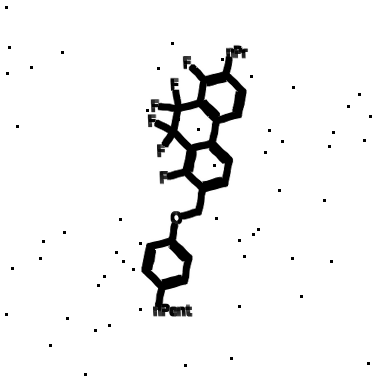 CCCCCc1ccc(OCc2ccc3c(c2F)C(F)(F)C(F)(F)c2c-3ccc(CCC)c2F)cc1